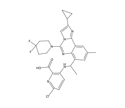 Cc1cc(C(C)Nc2ccc(Cl)nc2C(=O)O)c2nc(N3CCC(F)(F)CC3)n3cc(C4CC4)nc3c2c1